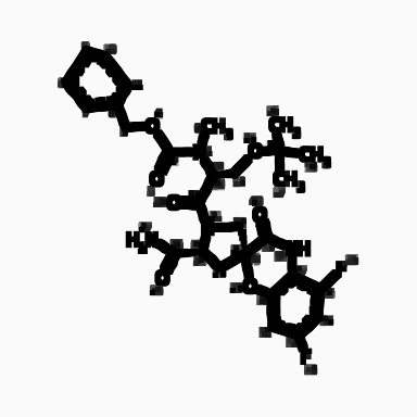 CN(C(=O)OCc1ccccc1)[C@@H](COC(C)(C)C)C(=O)N1C[C@@]2(C[C@H]1C(N)=O)Oc1cc(F)cc(F)c1NC2=O